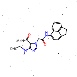 CNC(=O)c1c(N(C)CC=O)ncn1CC(=O)Nc1ccc2c3c(cccc13)CC2